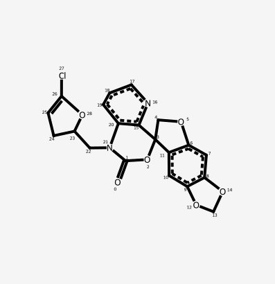 O=C1OC2(COc3cc4c(cc32)OCO4)c2ncccc2N1CC1CC=C(Cl)O1